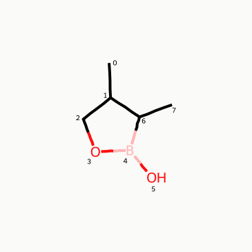 CC1COB(O)C1C